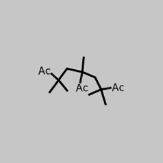 CC(=O)C(C)(C)CC(C)(CC(C)(C)C(C)=O)C(C)=O